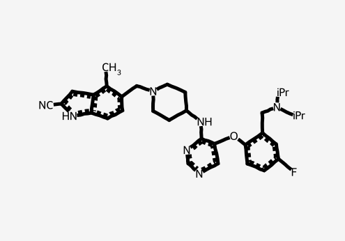 Cc1c(CN2CCC(Nc3ncncc3Oc3ccc(F)cc3CN(C(C)C)C(C)C)CC2)ccc2[nH]c(C#N)cc12